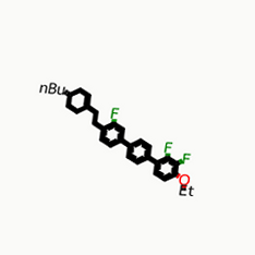 CCCCC1CC=C(CCc2ccc(-c3ccc(-c4ccc(OCC)c(F)c4F)cc3)cc2F)CC1